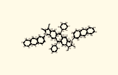 Cc1c(C)n(-c2ccc3cc4ccccc4cc3c2)c2cc3c(-c4ccccc4)c4cc5c(C)c(C)n(-c6ccc7cc8ccccc8cc7c6)c5cc4c(-c4ccccc4)c3cc12